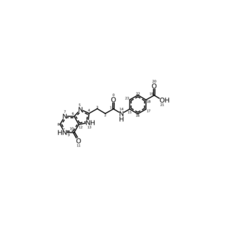 O=C(CCc1nc2nc[nH]c(=O)c2[nH]1)Nc1ccc(C(=O)O)cc1